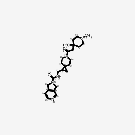 CN1CCC(C)(CC(=O)N2CCC3(CC2)CC3CNC(=O)N2Cc3ccncc3C2)CC1